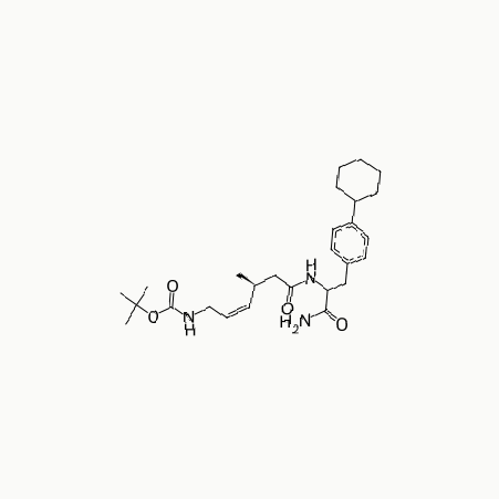 C[C@H](/C=C\CNC(=O)OC(C)(C)C)CC(=O)NC(Cc1ccc(C2CCCCC2)cc1)C(N)=O